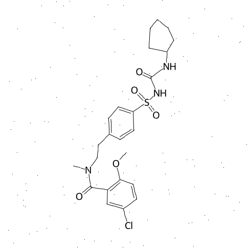 COc1ccc(Cl)cc1C(=O)N(C)CCc1ccc(S(=O)(=O)NC(=O)NC2CCCCC2)cc1